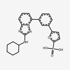 O=P(O)(O)c1ccc(-c2cccc(-c3cccc4nc(NC5CCCCC5)nn34)c2)o1